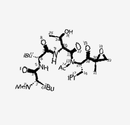 CC[C@H](C)[C@H](NC)C(=O)N[C@H](C(=O)N[C@H](C(=O)N(C(C)=O)[C@@H](CC(C)C)C(=O)[C@@]1(C)CO1)[C@@H](C)O)[C@@H](C)CC